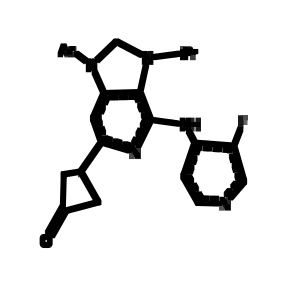 CC(=O)N1CN(C(C)C)c2c1cc([C]1CC(=O)C1)nc2Nc1ccncc1F